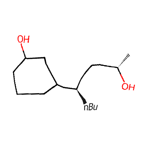 CCCC[C@H](C[C@H](C)O)C1CCCC(O)C1